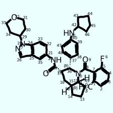 Cc1cccc(F)c1C(=O)N1[C@@H]2CCC[C@@H]2C[C@H](C(=O)Nc2ccc3c(cnn3C3CCOCC3)c2)[C@@H]1c1ccc(NC2CCCC2)cc1